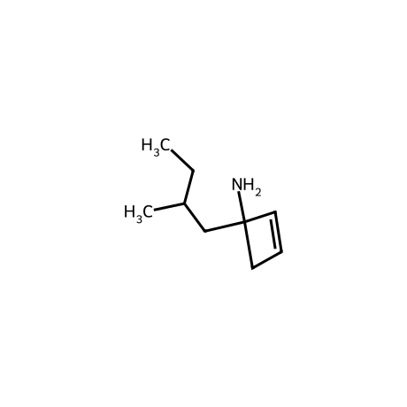 CCC(C)CC1(N)C=CC1